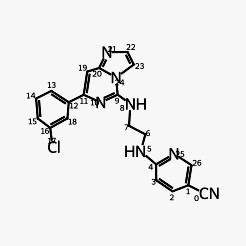 N#Cc1ccc(NCCNc2nc(-c3cccc(Cl)c3)cc3nccn23)nc1